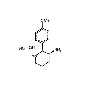 COc1ccc([C@@H]2NCCC[C@@H]2N)cc1.Cl.Cl